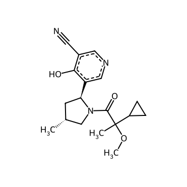 COC(C)(C(=O)N1C[C@H](C)C[C@H]1c1cncc(C#N)c1O)C1CC1